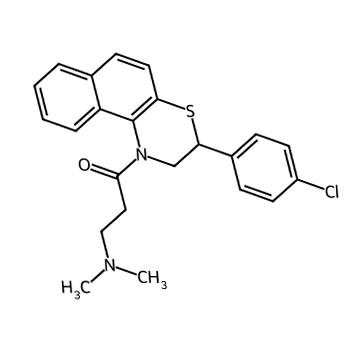 CN(C)CCC(=O)N1CC(c2ccc(Cl)cc2)Sc2ccc3ccccc3c21